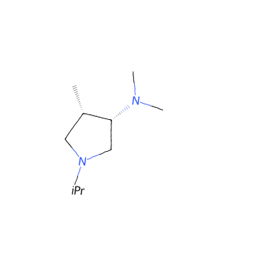 CC(C)N1C[C@@H](N(C)C)[C@@H](C)C1